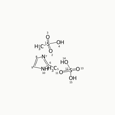 CS(=O)(=O)O.Cc1ncc[nH]1.O=S(=O)(O)O